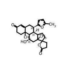 Cc1ccc([C@@H]2CC3=CC(=O)CCC3(C)C3[C@@H]2C2CCC4(CCC(=O)O4)C2(C)C[C@H]3O)o1